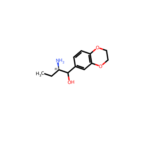 CC[C@@H](N)C(O)c1ccc2c(c1)OCCO2